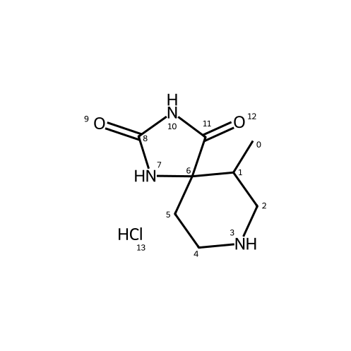 CC1CNCCC12NC(=O)NC2=O.Cl